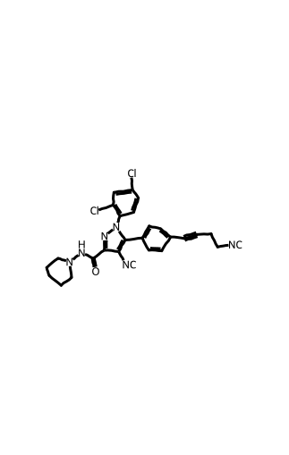 [C-]#[N+]CCC#Cc1ccc(-c2c([N+]#[C-])c(C(=O)NN3CCCCC3)nn2-c2ccc(Cl)cc2Cl)cc1